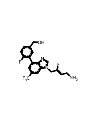 NC/C=C(\F)Cn1cnc2c(-c3cc(CO)ccc3F)cc(C(F)(F)F)cc21